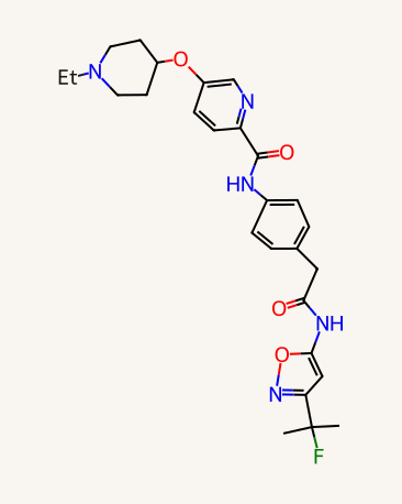 CCN1CCC(Oc2ccc(C(=O)Nc3ccc(CC(=O)Nc4cc(C(C)(C)F)no4)cc3)nc2)CC1